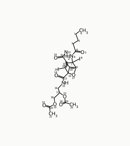 CCCCC(=O)NC1(I)C2=C(I)C(C(=O)NCC(COC(C)=O)OC(C)=O)(O2)C(I)=C1C(N)=O